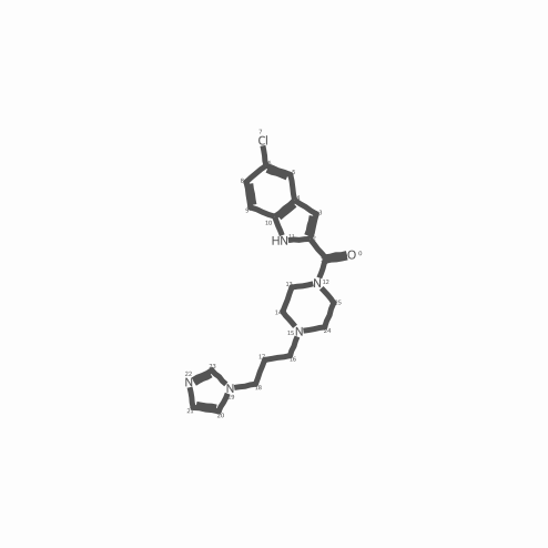 O=C(c1cc2cc(Cl)ccc2[nH]1)N1CCN(CCCn2ccnc2)CC1